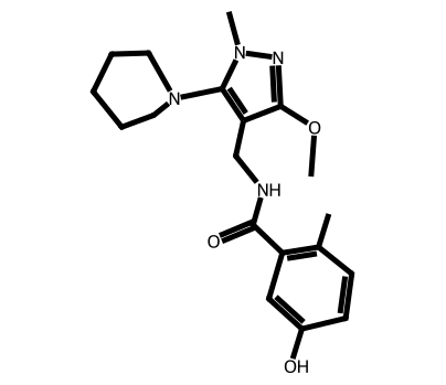 COc1nn(C)c(N2CCCCC2)c1CNC(=O)c1cc(O)ccc1C